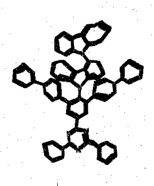 c1ccc(-c2ccc(-c3cc(-c4nc(-c5ccccc5)nc(-c5ccccc5)n4)cc(-c4ccc(-c5ccccc5)cc4)c3-n3c4ccccc4c4c(-n5c6ccccc6c6ccccc65)cccc43)cc2)cc1